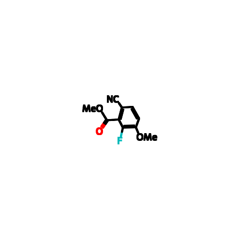 COC(=O)c1c(C#N)ccc(OC)c1F